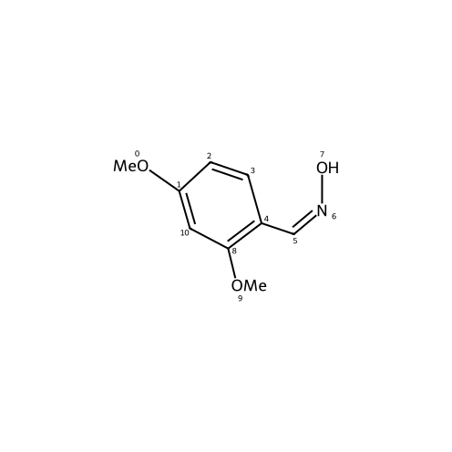 COc1ccc(/C=N\O)c(OC)c1